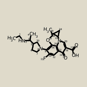 CCNC(C)C1CCN(c2c(F)cc3c(=O)c(C(=O)O)cn(C4CC4)c3c2OCC)C1